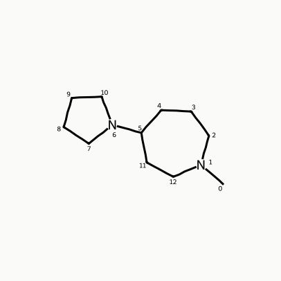 CN1CCCC(N2CCCC2)CC1